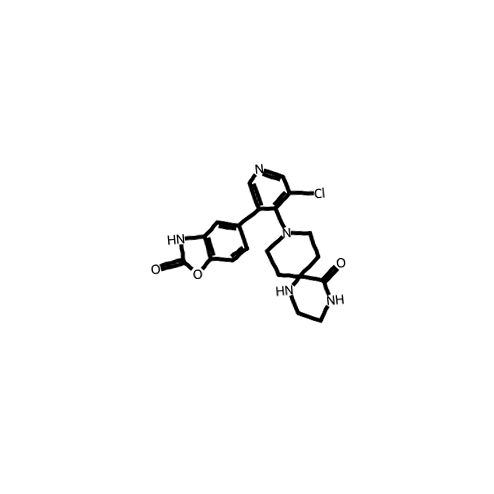 O=C1NCCNC12CCN(c1c(Cl)cncc1-c1ccc3oc(=O)[nH]c3c1)CC2